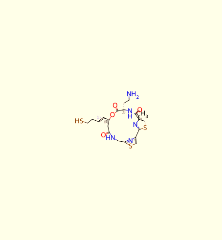 C[C@@]12CSC(=N1)c1csc(n1)CNC(=O)C[C@@H](/C=C/CCS)OC(=O)[C@H](CCN)NC2=O